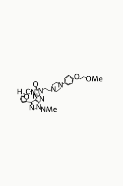 CNN1CN=C(c2ccco2)c2c1nc1n(CCN3CCN(c4ccc(OCCOC)cc4)CC3)c(=O)n(C)n21